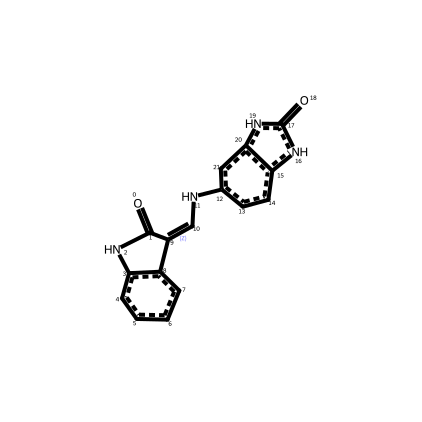 O=C1Nc2ccccc2/C1=C/Nc1ccc2[nH]c(=O)[nH]c2c1